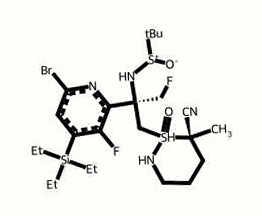 CC[Si](CC)(CC)c1cc(Br)nc([C@](CF)(C[SH]2(=O)NCCC[C@]2(C)C#N)N[S+]([O-])C(C)(C)C)c1F